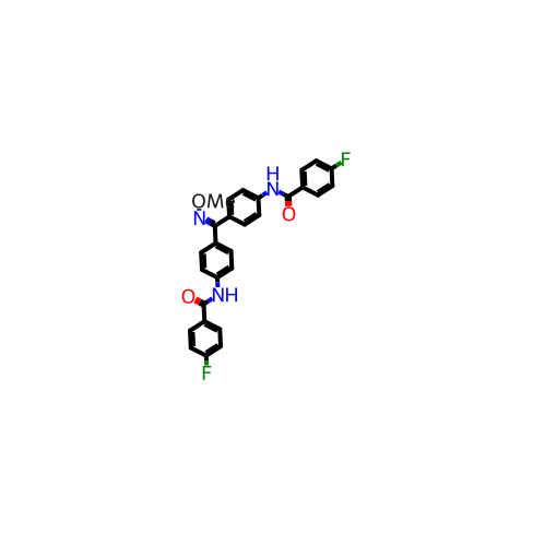 CON=C(c1ccc(NC(=O)c2ccc(F)cc2)cc1)c1ccc(NC(=O)c2ccc(F)cc2)cc1